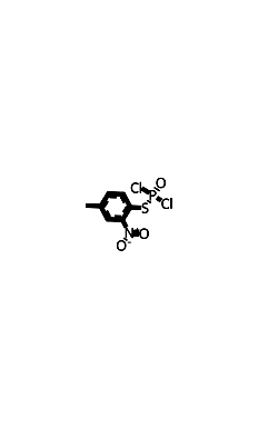 Cc1ccc(SP(=O)(Cl)Cl)c([N+](=O)[O-])c1